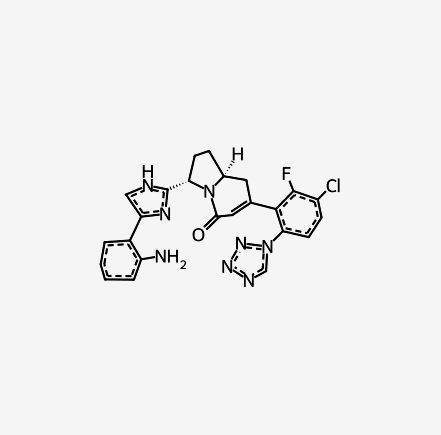 Nc1ccccc1-c1c[nH]c([C@@H]2CC[C@H]3CC(c4c(-n5cnnn5)ccc(Cl)c4F)=CC(=O)N32)n1